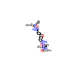 COC[C@H]1C[C@@H](c2ncc(-c3ccc4c(c3)COc3cc5c(ccc6nc([C@@H]7C[C@H]8C[C@H]8N7C(=O)[C@@H](NC(=O)OC)C(C)C)[nH]c65)cc3-4)[nH]2)N(C(=O)[CH]c2ccccc2)C1